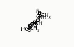 C[C@@H](NC(=O)[C@H]1CC[C@H](NS(=O)(=O)c2ccc3c(c2)N(C)[C@@H](C(=O)O)CC3)CC1)c1ccc(F)cc1